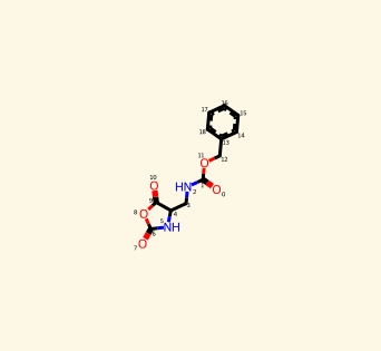 O=C(NCC1NC(=O)OC1=O)OCc1ccccc1